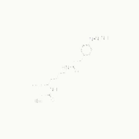 CC(C)(C)OC(=O)NC(CCCCNC(=O)OCc1ccc(N=[N+]=N)cc1)C(=O)[O-]